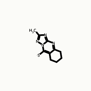 Cc1nc2nc3c(c([S])n2n1)CCCC3